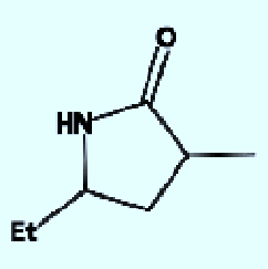 CCC1CC(C)C(=O)N1